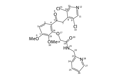 COc1ccc(C(=O)Cc2c(Cl)cncc2Cl)c(OCC(=O)NCc2ccccn2)c1OC